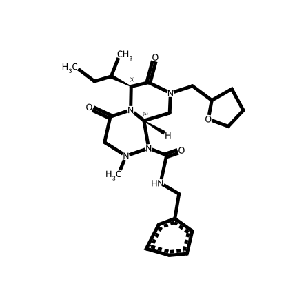 CCC(C)[C@H]1C(=O)N(CC2CCCO2)C[C@H]2N1C(=O)CN(C)N2C(=O)NCc1ccccc1